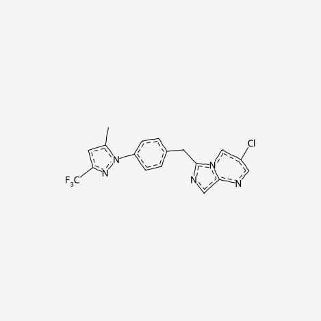 Cc1cc(C(F)(F)F)nn1-c1ccc(Cc2ncc3ncc(Cl)cn23)cc1